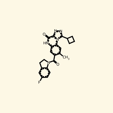 Cc1cc2c(cc1C(=O)N1CCc3cc(F)ccc31)[nH]c(=O)c1nnc(C3CCC3)n12